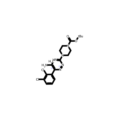 C/C(N)=C(\N=N/C(=N)N1CCN(C(=O)OC(C)(C)C)CC1)c1cccc(Cl)c1Cl